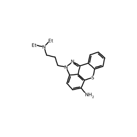 CCN(CC)CCCn1nc2c3c(c(N)ccc31)Sc1ccccc1-2